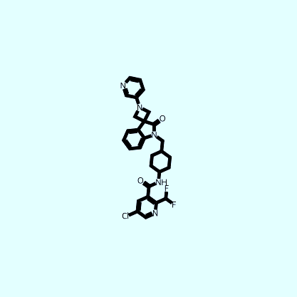 O=C(NC1CCC(CN2C(=O)C3(CN(c4cccnc4)C3)c3ccccc32)CC1)c1cc(Cl)cnc1C(F)F